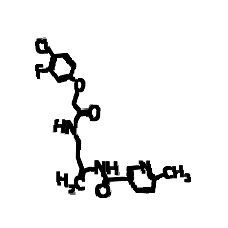 C=C(CCNC(=O)COc1ccc(Cl)c(F)c1)NC(=O)c1ccc(C)nc1